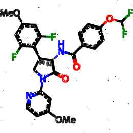 COc1ccnc(N2C[C@@H](c3c(F)cc(OC)cc3F)[C@H](NC(=O)c3ccc(OC(F)F)cc3)C2=O)c1